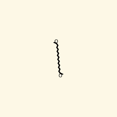 C(CCCCCCCC1CO1)CCCCCCC1CO1